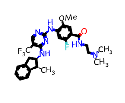 COc1cc(C(=O)NCCN(C)C)c(F)cc1Nc1ncc(C(F)(F)F)c(N[C@@H]2Cc3ccccc3[C@H]2C)n1